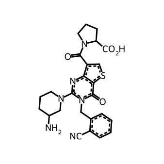 N#Cc1ccccc1Cn1c(N2CCCC(N)C2)nc2c(C(=O)N3CCCC3C(=O)O)csc2c1=O